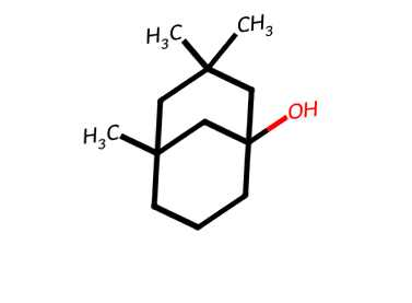 CC1(C)CC2(C)CCCC(O)(C1)C2